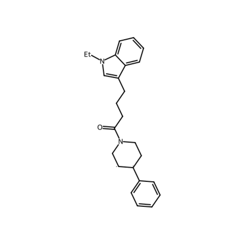 CCn1cc(CCCC(=O)N2C[CH][C](c3ccccc3)CC2)c2ccccc21